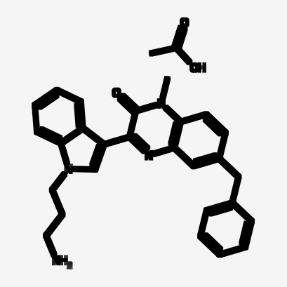 CC(=O)O.Cn1c(=O)c(-c2cn(CCCN)c3ccccc23)nc2cc(Cc3ccccc3)ccc21